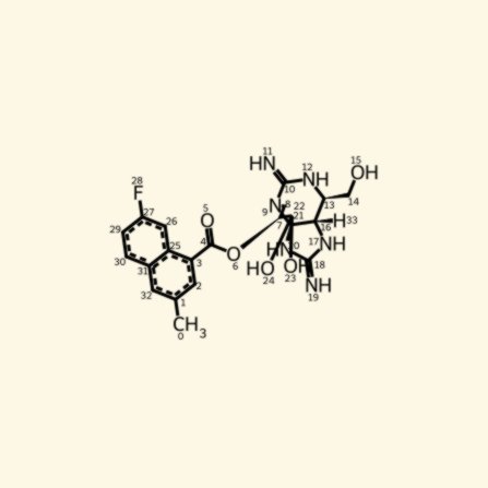 Cc1cc(C(=O)O[C@H]2CN3C(=N)N[C@@H](CO)[C@@H]4NC(=N)N[C@@]43C2(O)O)c2cc(F)ccc2c1